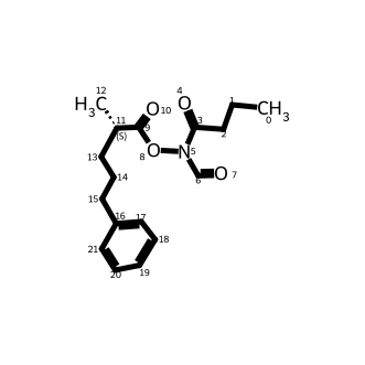 CCCC(=O)N(C=O)OC(=O)[C@@H](C)CCCc1ccccc1